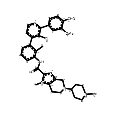 COc1cc(-c2nccc(-c3cccc(NC(=O)c4nc5c(n4C)CCN(C4CCN(C(C)=O)CC4)C5)c3C)c2Cl)ccc1C=O